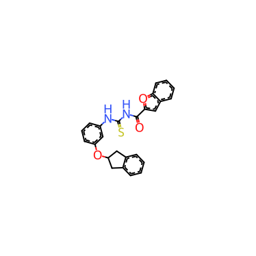 O=C(NC(=S)Nc1cccc(OC2Cc3ccccc3C2)c1)c1cc2ccccc2o1